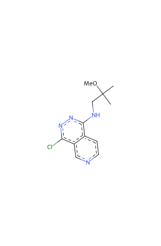 COC(C)(C)CNc1nnc(Cl)c2cnccc12